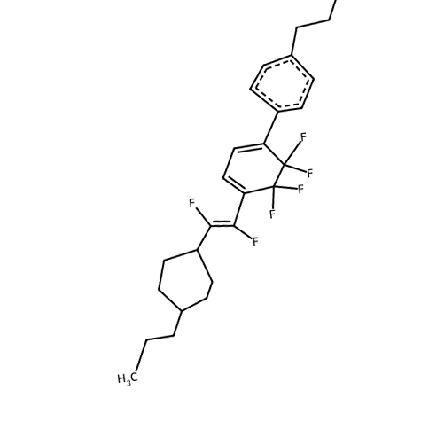 CCCc1ccc(C2=CC=C(/C(F)=C(\F)C3CCC(CCC)CC3)C(F)(F)C2(F)F)cc1